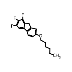 CCCCCCOc1ccc2c(c1)Cc1c-2cc(F)c(F)c1F